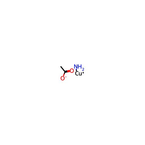 CC(=O)[O-].[NH2][Cu+]